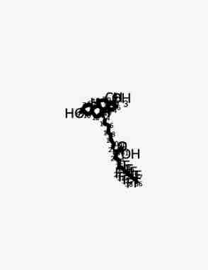 C[C@]12CC[C@@H]3c4ccc(O)cc4C[C@@H](CCCCCCCC[C@@H](CCCC(F)(F)C(F)(F)C(F)(F)C(F)(F)F)C(=O)O)[C@H]3[C@@H]1CC[C@@H]2O